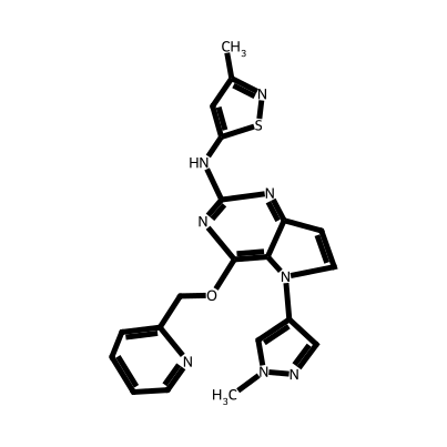 Cc1cc(Nc2nc(OCc3ccccn3)c3c(ccn3-c3cnn(C)c3)n2)sn1